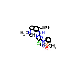 COc1cc2c(cc1Nc1ncc(Cl)c(Nc3ccccc3P(C)(C)=O)n1)[C@@H](N(C)C)CC2